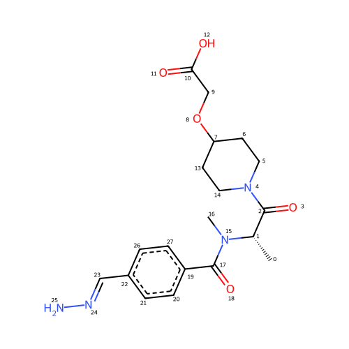 C[C@@H](C(=O)N1CCC(OCC(=O)O)CC1)N(C)C(=O)c1ccc(C=NN)cc1